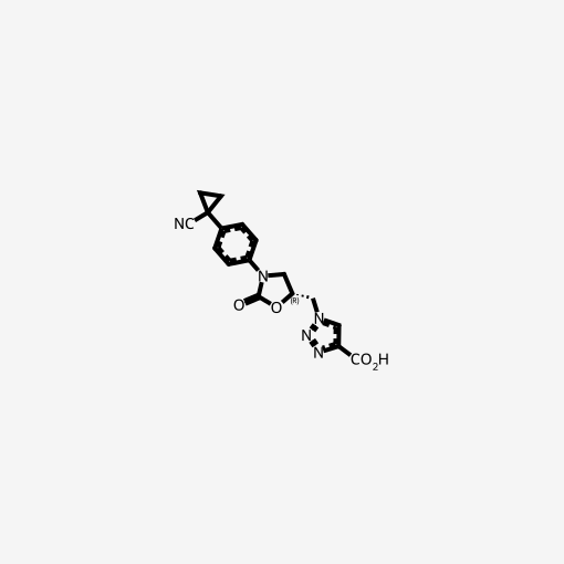 N#CC1(c2ccc(N3C[C@H](Cn4cc(C(=O)O)nn4)OC3=O)cc2)CC1